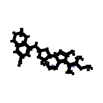 C/C=N\c1c(/C(N)=C(\C)CC)c(Br)cn1C1CCC(Oc2cc(Cl)cc3c2CNCC3)C1